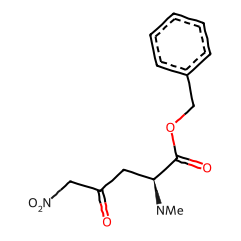 CN[C@@H](CC(=O)C[N+](=O)[O-])C(=O)OCc1ccccc1